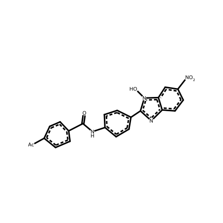 CC(=O)c1ccc(C(=O)Nc2ccc(-c3nc4ccc([N+](=O)[O-])cc4n3O)cc2)cc1